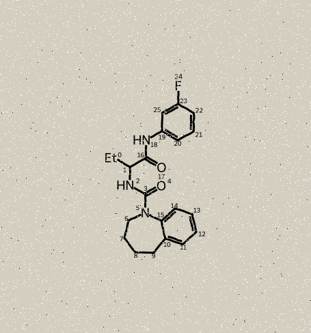 CCC(NC(=O)N1CCCCc2ccccc21)C(=O)Nc1cccc(F)c1